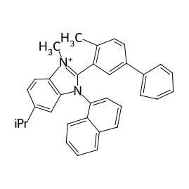 Cc1ccc(-c2ccccc2)cc1-c1n(-c2cccc3ccccc23)c2cc(C(C)C)ccc2[n+]1C